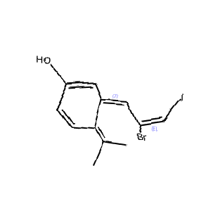 CC(C)=c1ccc(O)c/c1=C/C(Br)=C\I